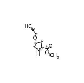 C#CCO[C@H]1CN[C@H](C(=O)OC)C1